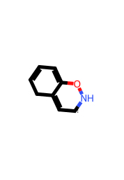 [C]1C=C2CC=CC=C2ON1